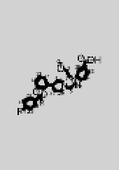 COCCn1c(CN2CCC(c3cccc4c3OC(C)(c3ccc(F)cc3)O4)CC2)nc2ccc(C(=O)O)cc21